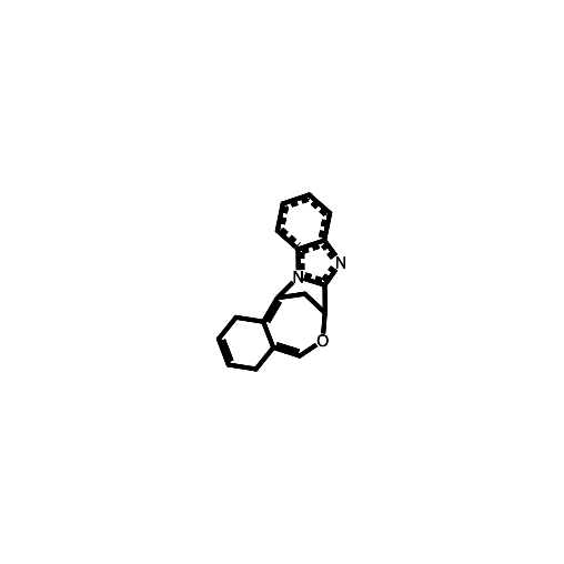 C1=CCC2=C3CC(OC=C2C1)c1nc2ccccc2n13